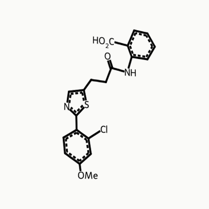 COc1ccc(-c2ncc(CCC(=O)Nc3ccccc3C(=O)O)s2)c(Cl)c1